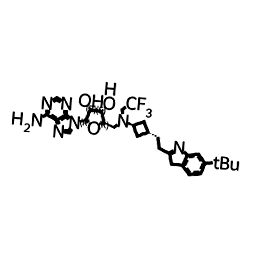 CC(C)(C)c1ccc2c(c1)N=C(CC[C@H]1C[C@H](N(C[C@H]3O[C@@H](n4cnc5c(N)ncnc54)[C@H](O)[C@@H]3O)CC(F)(F)F)C1)C2